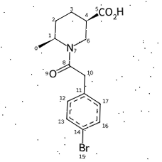 C[C@H]1CC[C@@H](C(=O)O)CN1C(=O)Cc1ccc(Br)cc1